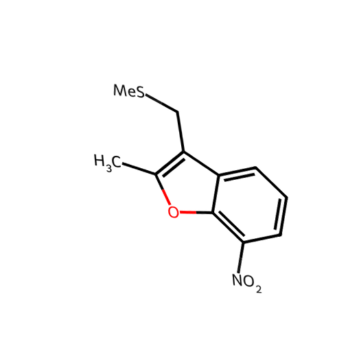 CSCc1c(C)oc2c([N+](=O)[O-])cccc12